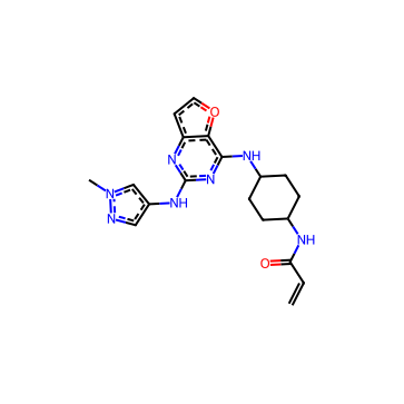 C=CC(=O)NC1CCC(Nc2nc(Nc3cnn(C)c3)nc3ccoc23)CC1